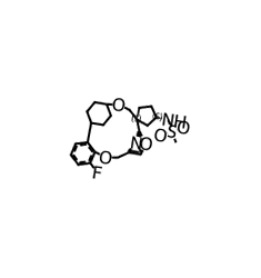 CS(=O)(=O)N[C@H]1CC[C@@]2(COC3CCC(CC3)c3cccc(F)c3OCc3coc2n3)C1